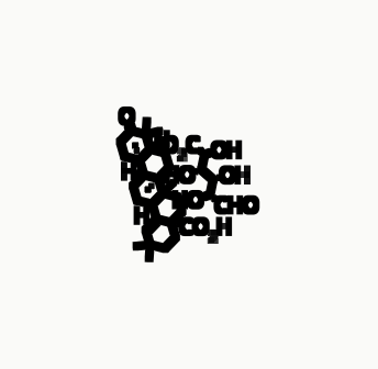 CC1(C)C=C2[C@H]3CC[C@@H]4[C@@]5(C)CCC(=O)C(C)(C)[C@@H]5CC[C@@]4(C)[C@]3(C)CC[C@@]2(C(=O)O)CC1.O=C[C@H](O)[C@@H](O)[C@H](O)[C@H](O)C(=O)O